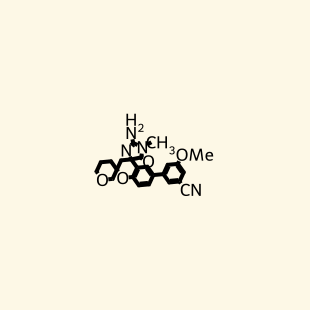 COc1cc(C#N)cc(-c2ccc3c(c2)C2(CC4(CCCOC4)O3)N=C(N)N(C)C2=O)c1